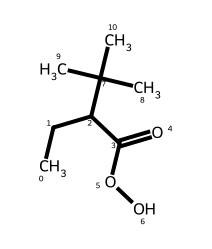 CCC(C(=O)OO)C(C)(C)C